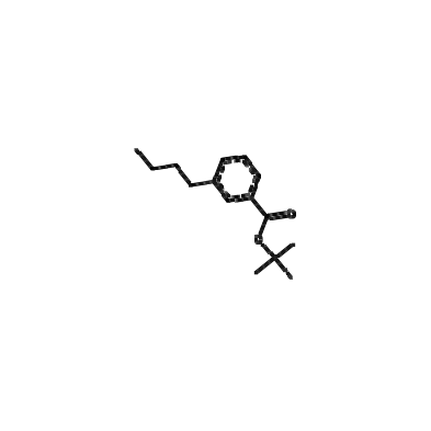 CCCCc1cccc(C(=O)OC(C)(C)C)c1